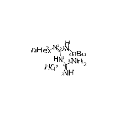 CCCCCCN=C(NCCCC)NC(=N)N.Cl